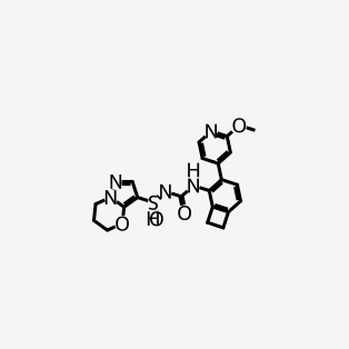 COc1cc(-c2ccc3c(c2NC(=O)N=[SH](=O)c2cnn4c2OCCC4)CC3)ccn1